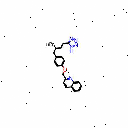 CCCC(CCc1nnn[nH]1)Cc1ccc(OCc2ccc3ccccc3n2)cc1